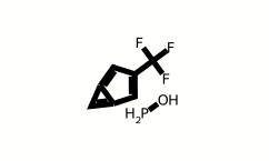 FC(F)(F)c1cc2cc-2c1.OP